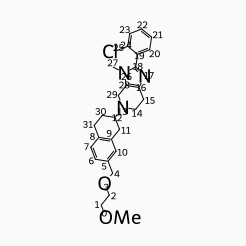 COCCOCc1ccc2c(c1)CC(N1CCc3nc(-c4ccccc4Cl)n(C)c3C1)CC2